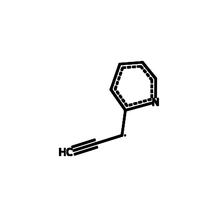 C#C[CH]c1ccccn1